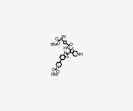 CC(C)N(C(=O)OC(C)(C)C)C1CC(C(=O)Nc2sc3c(c2-c2nc4ccc(C5=CCN(C(=O)OC(C)(C)C)CC5)cc4s2)CCNC3)C1